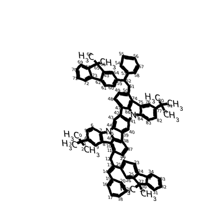 CC(C)(C)c1ccc2c(c1)c1c(C/C(=C/c3ccccc3)c3ccc4c(c3)C(C)(C)c3ccccc3-4)ccc3c4cc5c(cc4n2c31)c1ccc(CC(c2ccccc2)c2ccc3c(c2)C(C)(C)c2ccccc2-3)c2c3cc(C(C)(C)C)ccc3n5c12